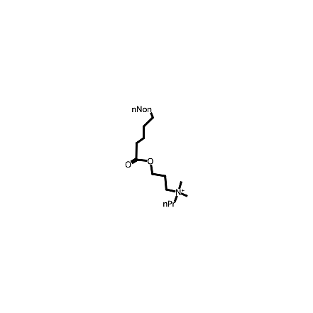 CCCCCCCCCCCCCC(=O)OCCC[N+](C)(C)CCC